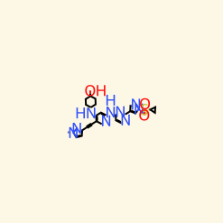 Cn1ccc(C#Cc2cnc(Nc3ccnc(-c4cnn(S(=O)(=O)C5CC5)c4)n3)cc2NC2CCC(O)CC2)n1